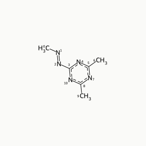 CN=Nc1nc(C)nc(C)n1